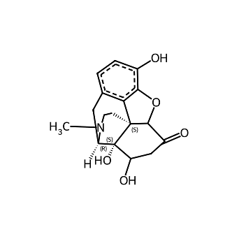 CN1CC[C@]23c4c5ccc(O)c4OC2C(=O)CC(O)[C@@]3(O)[C@H]1C5